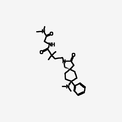 CN(C)C(=O)CNC(=O)C(C)(C)CCN1C[C@]2(CC[C@](c3ccccc3)(N(C)C)CC2)CC1=O